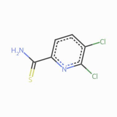 NC(=S)c1ccc(Cl)c(Cl)n1